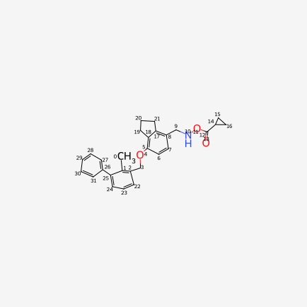 Cc1c(COc2ccc(CNOC(=O)C3CC3)c3c2CCC3)cccc1-c1ccccc1